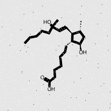 CCCCCC(C)(O)C=C[C@@H]1[C@@H](CCCCCCC(=O)O)[C@H](O)C[C@H]1C